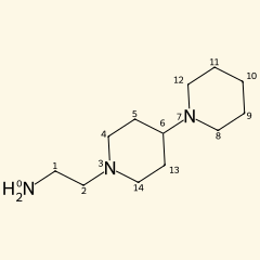 NCCN1CCC(N2CCCCC2)CC1